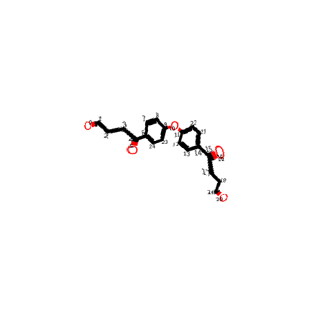 O=CCCC(=O)c1ccc(Oc2ccc(C(=O)CCC=O)cc2)cc1